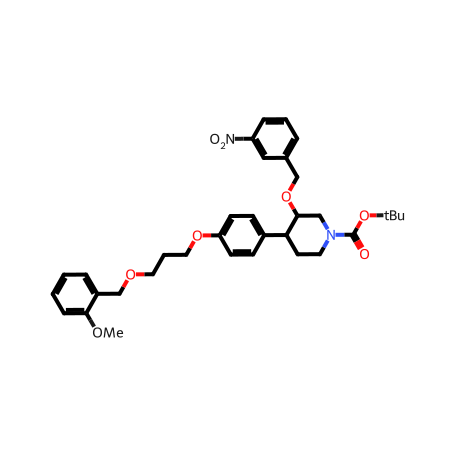 COc1ccccc1COCCCOc1ccc(C2CCN(C(=O)OC(C)(C)C)CC2OCc2cccc([N+](=O)[O-])c2)cc1